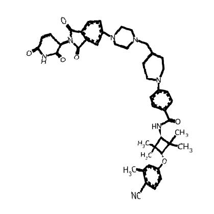 Cc1cc(O[C@H]2C(C)(C)[C@H](NC(=O)c3ccc(N4CCC(CN5CCN(c6ccc7c(c6)C(=O)N(C6CCC(=O)NC6=O)C7=O)CC5)CC4)cc3)C2(C)C)ccc1C#N